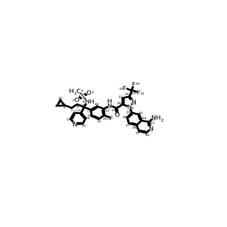 CS(=O)(=O)NC(CCC1CC1)(c1ccncc1)c1ccc(F)c(NC(=O)c2cc(C(F)(F)F)nn2-c2ccc3ccnc(N)c3c2)c1